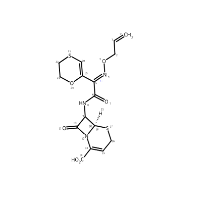 C=CCO/N=C(/C(=O)NC1C(=O)N2C(C(=O)O)=CCS[C@H]12)C1=CSCCO1